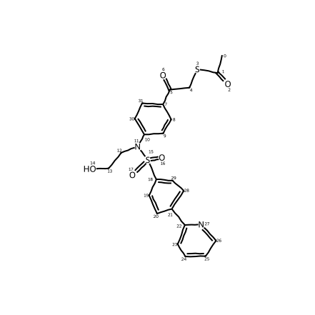 CC(=O)SCC(=O)c1ccc(N(CCO)S(=O)(=O)c2ccc(-c3ccccn3)cc2)cc1